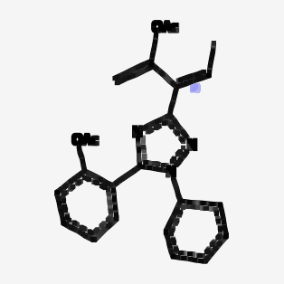 C=C(OC(C)=O)/C(=C\C)c1nc(-c2ccccc2OC(C)=O)n(-c2ccccc2)n1